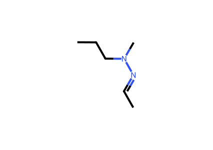 C/C=N/N(C)CCC